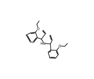 C=CC(NC(C=C)c1ccccc1OCC)c1ccccc1OCC